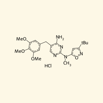 COc1cc(Cc2cnc(N(C)c3cc(C(C)(C)C)no3)nc2N)cc(OC)c1OC.Cl